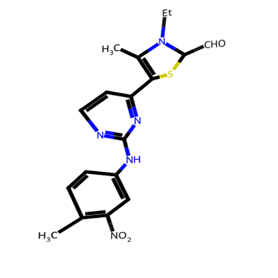 CCN1C(C)=C(c2ccnc(Nc3ccc(C)c([N+](=O)[O-])c3)n2)SC1C=O